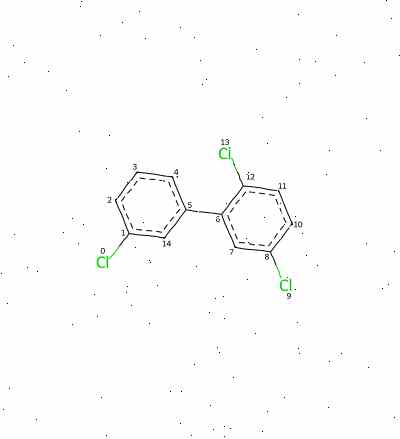 Clc1cc[c]c(-c2cc(Cl)ccc2Cl)c1